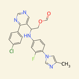 Cc1cn(-c2ccc(NC(COC=O)c3cncnc3-c3ccc(Cl)cc3)cc2F)cn1